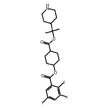 CC(C)(OC(=O)C1CCC(OC(=O)c2cc(I)cc(I)c2I)CC1)C1CCNCC1